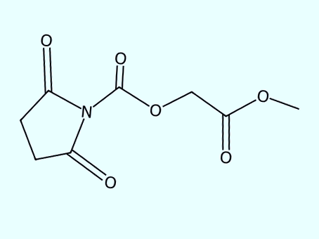 COC(=O)COC(=O)N1C(=O)CCC1=O